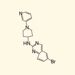 Brc1ccc2nc(NC3CCN(c4cccnc4)CC3)ncc2c1